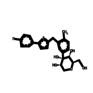 Cc1ccc([C@@]2(O)[C@H](O)[C@@H](CO)OC[C@@H]2O)cc1Cc1ccc(-c2ccc(F)cc2)s1